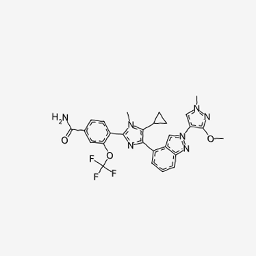 COc1nn(C)cc1-n1cc2c(-c3nc(-c4ccc(C(N)=O)cc4OC(F)(F)F)n(C)c3C3CC3)cccc2n1